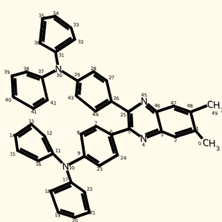 Cc1cc2nc(-c3ccc(N(c4ccccc4)c4ccccc4)cc3)c(-c3ccc(N(c4ccccc4)c4ccccc4)cc3)nc2cc1C